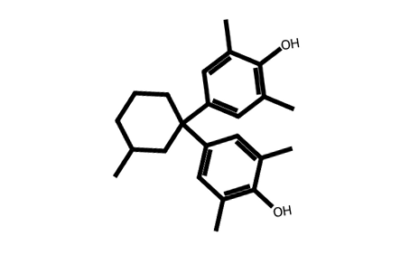 Cc1cc(C2(c3cc(C)c(O)c(C)c3)CCCC(C)C2)cc(C)c1O